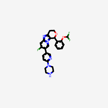 Fc1cc2nc3c(n2cc1-c1ccc(N2CCNCC2)nc1)C(c1ccccc1OC(F)F)OCC3